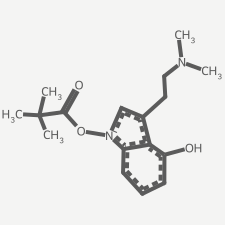 CN(C)CCc1cn(OC(=O)C(C)(C)C)c2cccc(O)c12